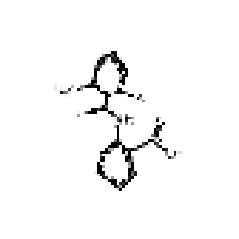 Cc1cccc(I)c1C(=O)Nc1ccccc1[N+](=O)[O-]